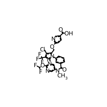 CN(C(=O)c1cccc(-n2nc(C(F)(F)F)c(Cl)c2COc2ccc(C(=O)O)cn2)c1)c1cnc(OC(F)F)nc1